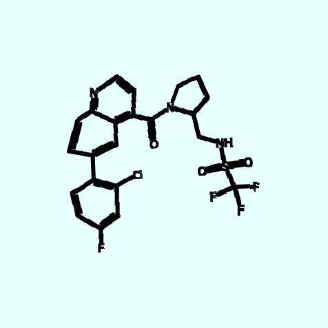 O=C(c1ccnc2ccc(-c3ccc(F)cc3Cl)cc12)N1CCCC1CNS(=O)(=O)C(F)(F)F